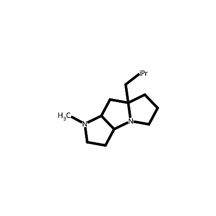 CC(C)CC12CCCN1C1CCN(C)C1C2